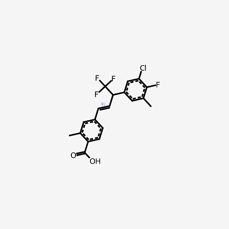 Cc1cc(/C=C/C(c2cc(C)c(F)c(Cl)c2)C(F)(F)F)ccc1C(=O)O